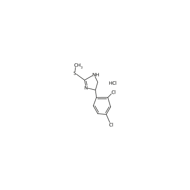 CSC1=NC(c2ccc(Cl)cc2Cl)CN1.Cl